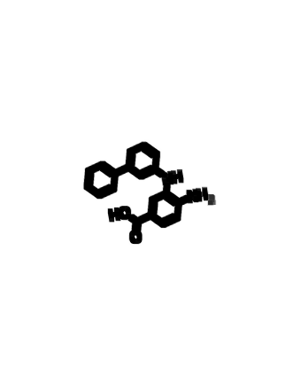 Nc1ccc(C(=O)O)cc1Nc1cccc(-c2ccccc2)c1